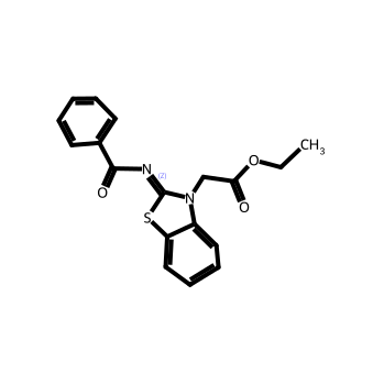 CCOC(=O)Cn1/c(=N/C(=O)c2ccccc2)sc2ccccc21